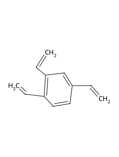 C=Cc1c[c]c(C=C)c(C=C)c1